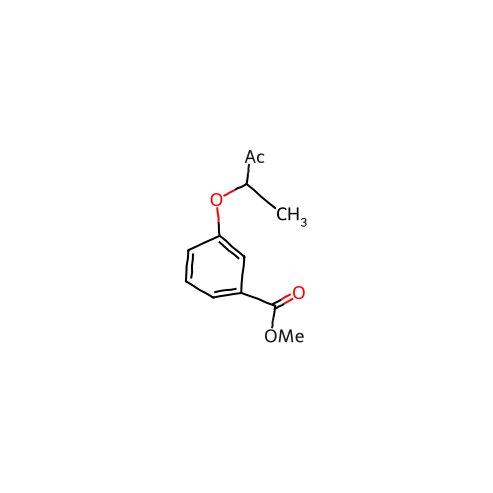 COC(=O)c1cccc(OC(C)C(C)=O)c1